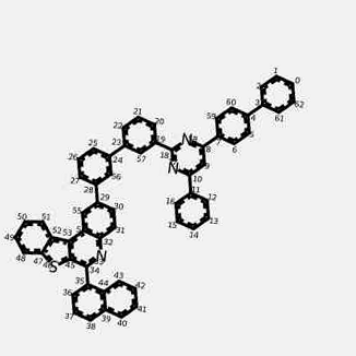 c1ccc(-c2ccc(-c3cc(-c4ccccc4)nc(-c4cccc(-c5cccc(-c6ccc7nc(-c8cccc9ccccc89)c8sc9ccccc9c8c7c6)c5)c4)n3)cc2)cc1